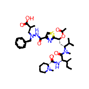 CCC(C)[C@H](NC(=O)[C@H]1CCCCN1C)C(=O)N(C)[C@H](C[C@@H](OC(C)=O)c1nc(C(=O)NN(Cc2ccccc2)CC(C)C(=O)O)cs1)C(C)C